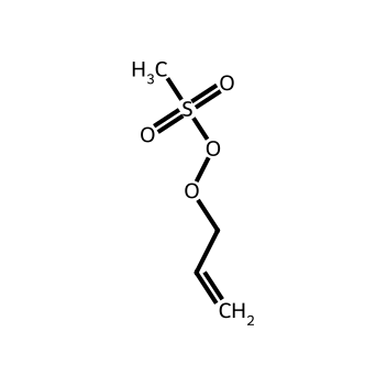 C=CCOOS(C)(=O)=O